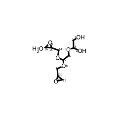 O.OCC(O)OCC(OCC1CO1)OCC1CO1